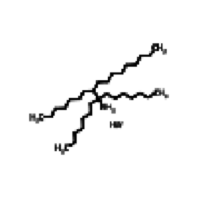 Br.CCCCCCCCCC(CCCCCCC)C(N)(CCCCCCC)CCCCCCC